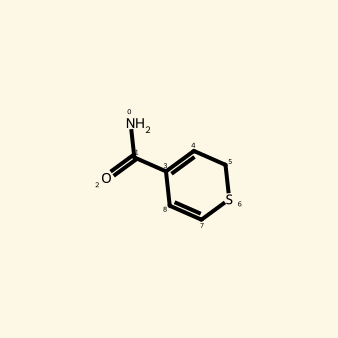 NC(=O)C1=CCSC=C1